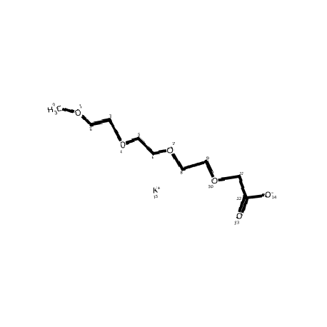 COCCOCCOCCOCC(=O)[O-].[K+]